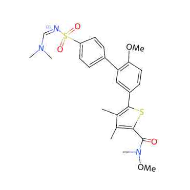 COc1ccc(-c2sc(C(=O)N(C)OC)c(C)c2C)cc1-c1ccc(S(=O)(=O)/N=C\N(C)C)cc1